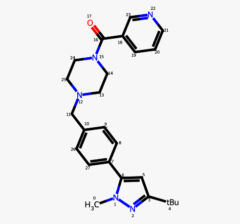 Cn1nc(C(C)(C)C)cc1-c1c[c]c(CN2CCN(C(=O)c3cccnc3)CC2)cc1